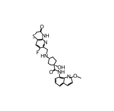 COc1ccc2cccc(NC(=O)[C@]3(O)CC[C@@H](NCc4nc5c(cc4F)SCC(=O)N5)CC3)c2n1